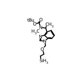 CC(c1cccc2c1ncn2COCC[SiH3])N(C)C(=O)OC(C)(C)C